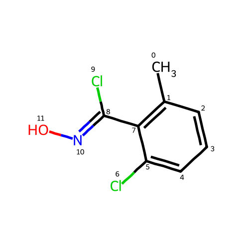 Cc1cccc(Cl)c1/C(Cl)=N/O